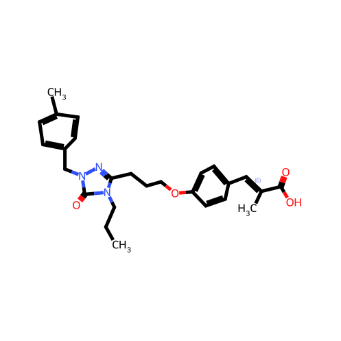 CCCn1c(CCCOc2ccc(/C=C(\C)C(=O)O)cc2)nn(Cc2ccc(C)cc2)c1=O